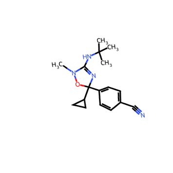 CN1OC(c2ccc(C#N)cc2)(C2CC2)N=C1NC(C)(C)C